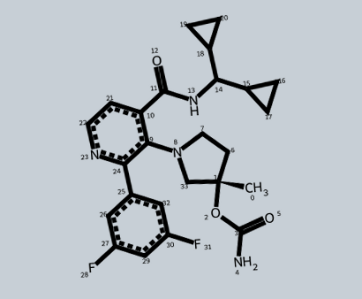 C[C@]1(OC(N)=O)CCN(c2c(C(=O)NC(C3CC3)C3CC3)ccnc2-c2cc(F)cc(F)c2)C1